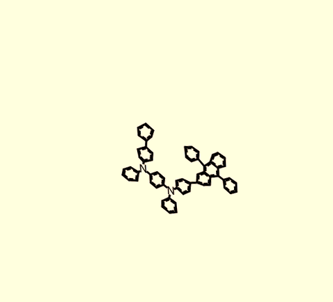 c1ccc(-c2ccc(N(c3ccccc3)c3ccc(N(c4ccccc4)c4ccc(-c5ccc6c(-c7ccccc7)c7ccccc7c(-c7ccccc7)c6c5)cc4)cc3)cc2)cc1